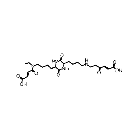 CCN(CCCCC1NC(=O)C(CCCCNCCC(=O)C=CC(=O)O)NC1=O)C(=O)C=CC(=O)O